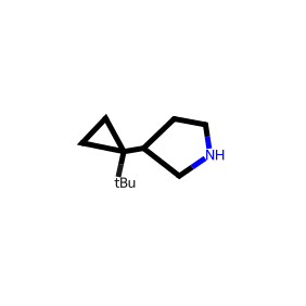 CC(C)(C)C1(C2CCNC2)CC1